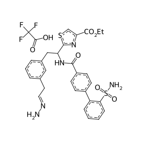 CCOC(=O)c1csc(C(Cc2cccc(CC=NN)c2)NC(=O)c2ccc(-c3ccccc3S(N)(=O)=O)cc2)n1.O=C(O)C(F)(F)F